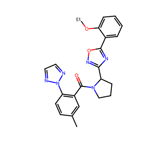 CCOc1ccccc1-c1nc(C2CCCN2C(=O)c2cc(C)ccc2-n2nccn2)no1